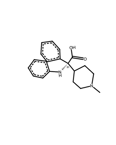 CN1CCC([C@](Nc2ccccc2)(C(=O)O)c2ccccc2)CC1